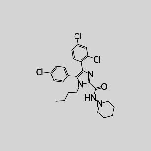 CCCCn1c(C(=O)NN2CCCCC2)nc(-c2ccc(Cl)cc2Cl)c1-c1ccc(Cl)cc1